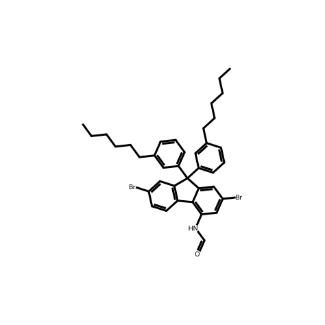 CCCCCCc1cccc(C2(c3cccc(CCCCCC)c3)c3cc(Br)ccc3-c3c(NC=O)cc(Br)cc32)c1